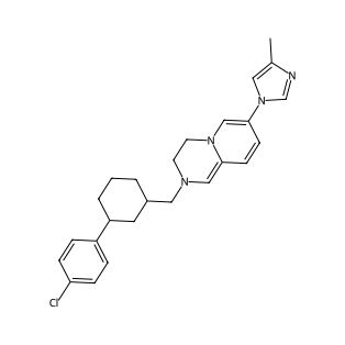 Cc1cn(C2=CN3CCN(CC4CCCC(c5ccc(Cl)cc5)C4)C=C3C=C2)cn1